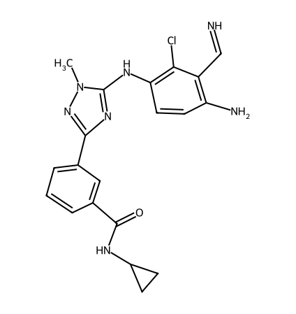 Cn1nc(-c2cccc(C(=O)NC3CC3)c2)nc1Nc1ccc(N)c(C=N)c1Cl